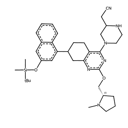 CN1CCC[C@H]1COc1nc2c(c(N3CCNC(CC#N)C3)n1)CCC(c1cc(O[Si](C)(C)C(C)(C)C)cc3ccccc13)C2